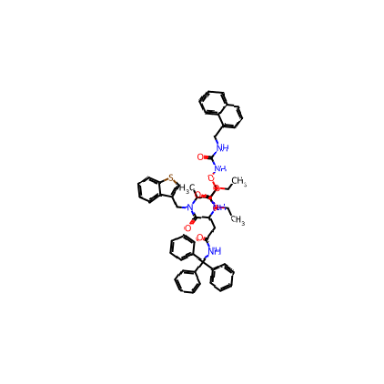 CCOC(OCC)C(C)N(Cc1csc2ccccc12)C(=O)C(CC(=O)NC(c1ccccc1)(c1ccccc1)c1ccccc1)NC(=O)CONC(=O)NCc1cccc2ccccc12